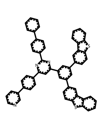 c1ccc(-c2ccc(-c3nc(-c4ccc(-c5cccnc5)cc4)cc(-c4cc(-c5ccc6sc7ccccc7c6c5)cc(-c5ccc6sc7ccccc7c6c5)c4)n3)cc2)cc1